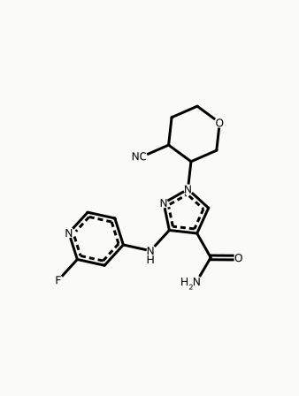 N#CC1CCOCC1n1cc(C(N)=O)c(Nc2ccnc(F)c2)n1